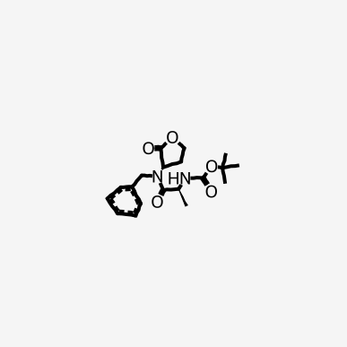 C[C@H](NC(=O)OC(C)(C)C)C(=O)N(Cc1ccccc1)[C@H]1CCOC1=O